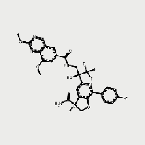 COc1ncc2cc(C(=O)NCC(O)(c3cc4c(c(-c5ccc(F)cc5)n3)OC[C@]4(C)C(N)=O)C(F)(F)F)cc(OC)c2n1